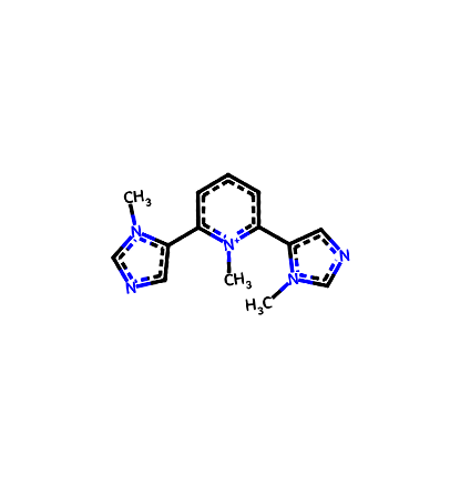 Cn1cncc1-c1cccc(-c2cncn2C)[n+]1C